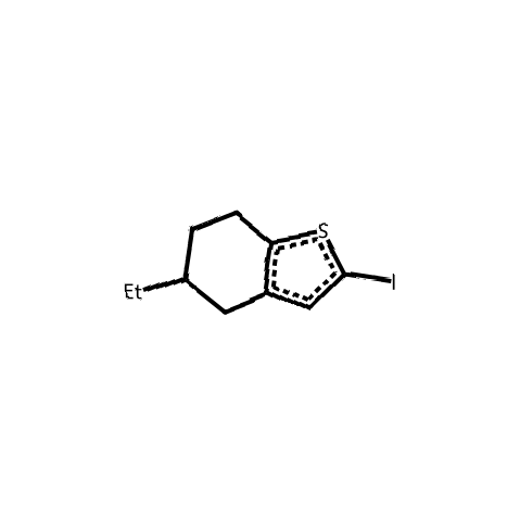 CCC1CCc2sc(I)cc2C1